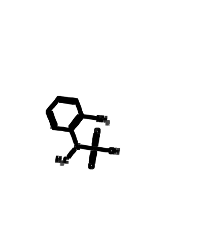 CN(c1[c]cccc1N)S(=O)(=O)O